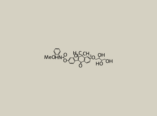 COc1ccccc1NC(=O)Oc1ccc2c3c(oc2c1)C(C)(C)c1cc(OC[C@@H](O)C(O)CO)ccc1C3=O